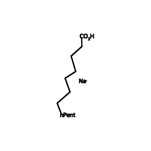 CCCCCCCCCCCC(=O)O.[Na]